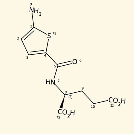 Nc1ccc(C(=O)N[C@@H](CCC(=O)O)C(=O)O)s1